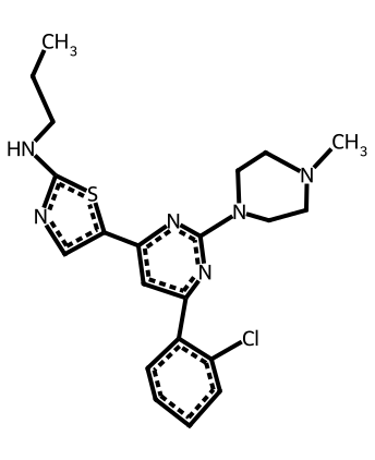 CCCNc1ncc(-c2cc(-c3ccccc3Cl)nc(N3CCN(C)CC3)n2)s1